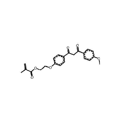 C=C(C)C(=O)OCCOc1ccc(C(=O)CC(=O)c2ccc(OC)cc2)cc1